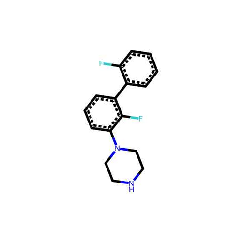 Fc1ccccc1-c1cccc(N2CCNCC2)c1F